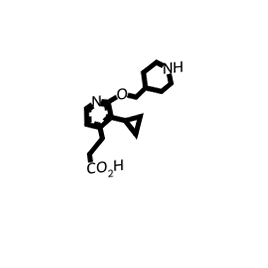 O=C(O)CCc1ccnc(OCC2CCNCC2)c1C1CC1